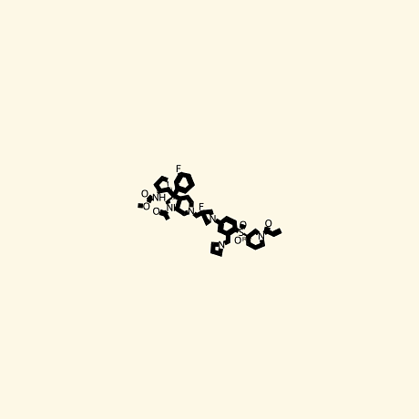 C=CC(=O)N1CCC[C@@H](S(=O)(=O)c2ccc(N3CC(F)(CN4CCC([C@@](CNC(C)=O)(c5cccc(F)c5)[C@H]5CCC[C@@H]5NC(=O)OC)CC4)C3)cc2CN2CCC2)C1